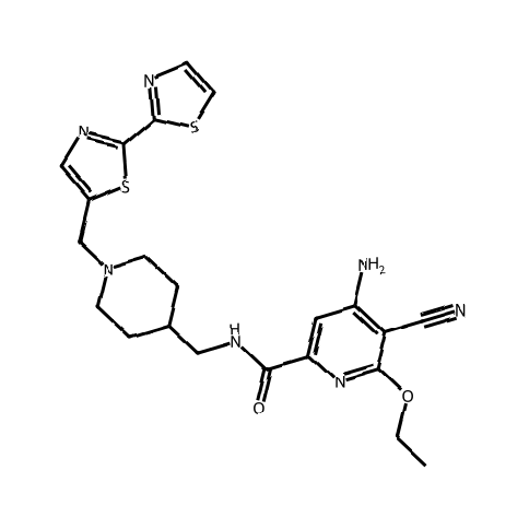 CCOc1nc(C(=O)NCC2CCN(Cc3cnc(-c4nccs4)s3)CC2)cc(N)c1C#N